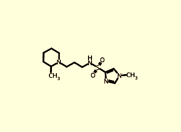 CC1CCCCN1CCCNS(=O)(=O)c1cn(C)cn1